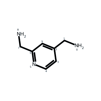 NCc1ccnc(CN)c1